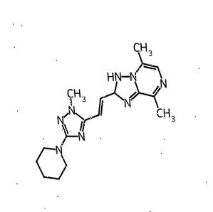 CC1=CN=C(C)C2=NC(/C=C/c3nc(N4CCCCC4)nn3C)NN12